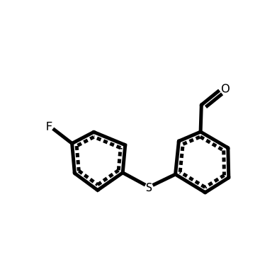 O=Cc1cccc(Sc2ccc(F)cc2)c1